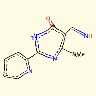 CNc1nc(-c2ccccn2)[nH]c(=O)c1C=N